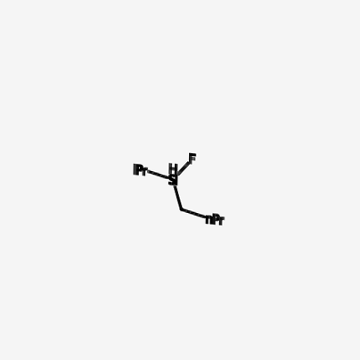 CCCC[SiH](F)C(C)C